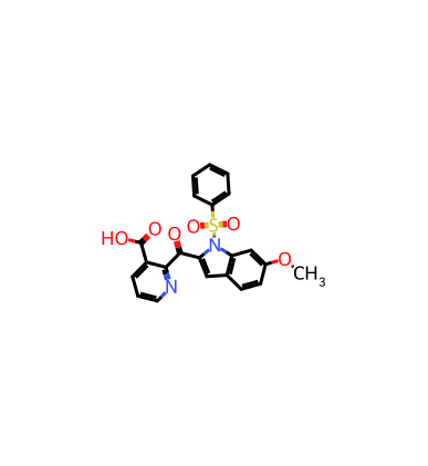 COc1ccc2cc(C(=O)c3ncccc3C(=O)O)n(S(=O)(=O)c3ccccc3)c2c1